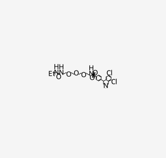 CCNC(=O)NCCOCCOCCOCCNS(=O)(=O)c1ccc(C2CN(C)Cc3c(Cl)cc(Cl)cc32)cc1